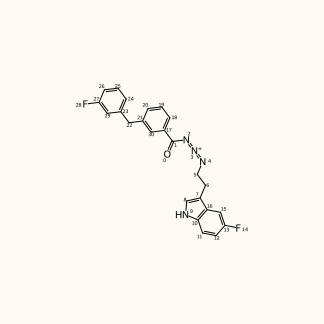 O=C(N=[N+]=NCCc1c[nH]c2ccc(F)cc12)c1cccc(Cc2cccc(F)c2)c1